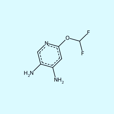 Nc1cnc(OC(F)F)cc1N